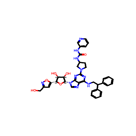 O=C(Nc1cccnc1)NC1CCN(c2nc(NCC(c3ccccc3)c3ccccc3)c3ncn([C@@H]4O[C@H](c5cc(CO)no5)[C@@H](O)[C@H]4O)c3n2)C1